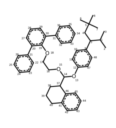 CC(C)C(CC(C)(C)C)c1ccc(OC(OCCOc2c(-c3ccccc3)cccc2-c2ccccc2)C2CCCc3ccccc32)cc1